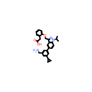 CC(C)n1nc(COc2ccccc2CC(=O)O)c2cc(-c3cc(CN)cc(C4CC4)c3)ccc21